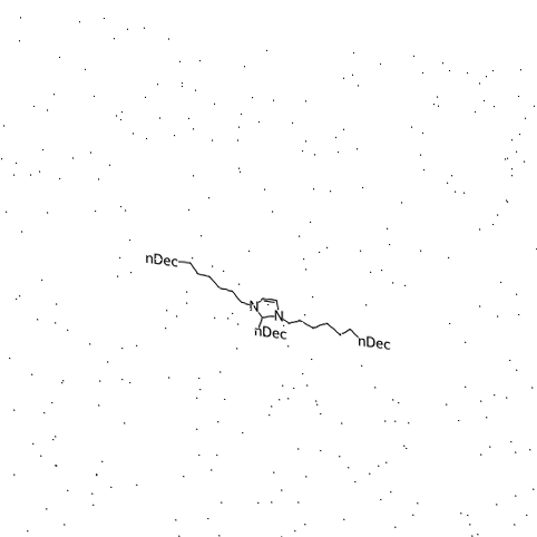 CCCCCCCCCCCCCCCCN1C=CN(CCCCCCCCCCCCCCCC)C1CCCCCCCCCC